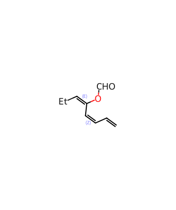 C=C/C=C\C(=C/CC)OC=O